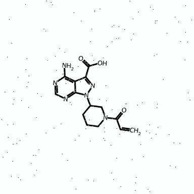 C=CC(=O)N1CCCC(n2nc(C(=O)O)c3c(N)ncnc32)C1